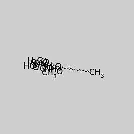 CCCCCCCCCCCCCCCC(=O)OCCSC[C@H](NC(C)=O)C(=O)N[C@@H](COS(=O)(=O)O)C(C)=O